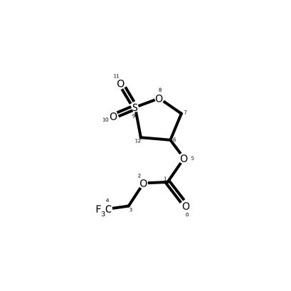 O=C(OCC(F)(F)F)OC1COS(=O)(=O)C1